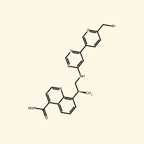 CNC(=O)c1ccnc2c([C@H](C)CNc3cc(-c4ccc(CC(C)C)nc4)ncn3)cccc12